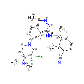 Cc1c(C#N)cccc1[C@@H](C)Nc1nnc(C)c2ccc(N3CC[C@H](N(C)C)C(F)(F)C3)cc12